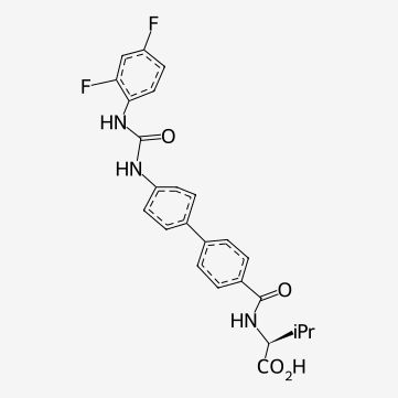 CC(C)[C@H](NC(=O)c1ccc(-c2ccc(NC(=O)Nc3ccc(F)cc3F)cc2)cc1)C(=O)O